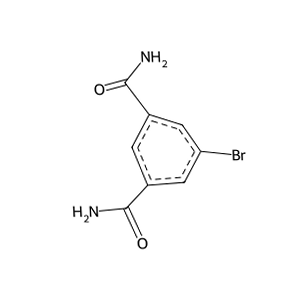 NC(=O)c1cc(Br)cc(C(N)=O)c1